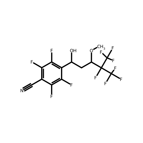 COC(CC(O)c1c(F)c(F)c(C#N)c(F)c1F)C(F)(C(F)(F)F)C(F)(F)F